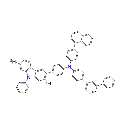 [2H]c1ccc2c3cc(-c4ccc(N(c5ccc(-c6cccc(-c7ccccc7)c6)cc5)c5ccc(-c6cccc7ccccc67)cc5)cc4)c([2H])cc3n(-c3ccccc3)c2c1